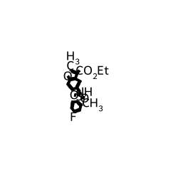 CCOC(=O)c1c(C)oc2ccc(NS(=O)(=O)c3ccc(F)cc3C)cc12